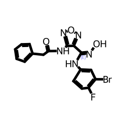 O=C(Cc1ccccc1)Nc1nonc1/C(=N\O)Nc1ccc(F)c(Br)c1